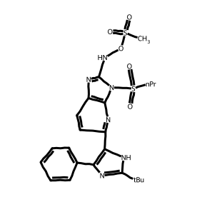 CCCS(=O)(=O)n1c(NOS(C)(=O)=O)nc2ccc(-c3[nH]c(C(C)(C)C)nc3-c3ccccc3)nc21